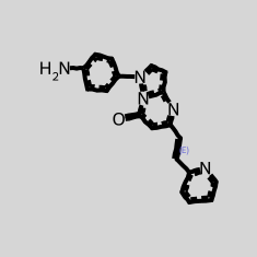 Nc1ccc(-n2ccc3nc(/C=C/c4ccccn4)cc(=O)n32)cc1